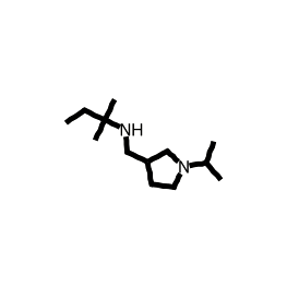 CCC(C)(C)NCC1CCN(C(C)C)C1